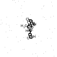 C[C@H]1C[C@@H](c2ncc(-c3ccc4c(=O)cc[nH]c4c3)[nH]2)n2c1nc(-c1c(-n3cnnn3)ccc(Cl)c1F)cc2=O